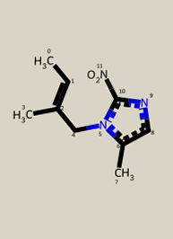 CC=C(C)Cn1c(C)cnc1[N+](=O)[O-]